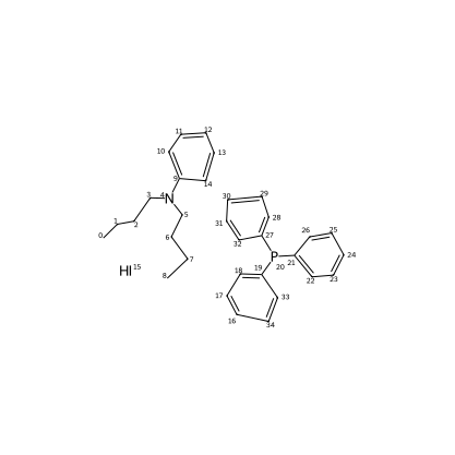 CCCCN(CCCC)c1ccccc1.I.c1ccc(P(c2ccccc2)c2ccccc2)cc1